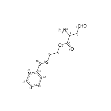 NC(CC=O)C(=O)OCCSSc1ccccn1